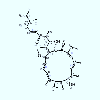 CO/C1=C/C(C)=C/[C@@H](C)[C@H](O)[C@@H](C)C(O)/C(C)=C/C=C/[C@H](OC)[C@@H]([C@@H](C)[C@@H](O)[C@H](C)C(=O)/C=C/[C@H](C)[C@H](O)C(C)C)OC1=O